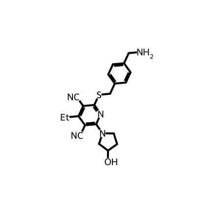 CCc1c(C#N)c(SCc2ccc(CN)cc2)nc(N2CCC(O)C2)c1C#N